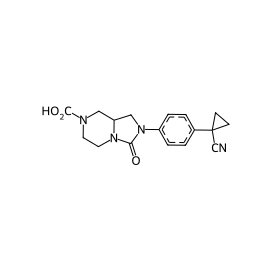 N#CC1(c2ccc(N3CC4CN(C(=O)O)CCN4C3=O)cc2)CC1